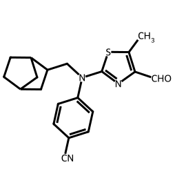 Cc1sc(N(CC2CC3CCC2C3)c2ccc(C#N)cc2)nc1C=O